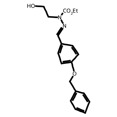 CCOC(=O)N(CCO)N=Cc1ccc(OCc2ccccc2)cc1